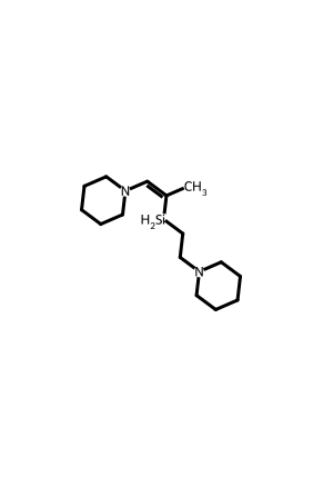 CC(=CN1CCCCC1)[SiH2]CCN1CCCCC1